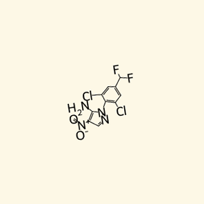 Nc1c([N+](=O)[O-])cnn1-c1c(Cl)cc(C(F)F)cc1Cl